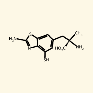 C[C@](N)(Cc1cc(S)c2nc(N)sc2c1)C(=O)O